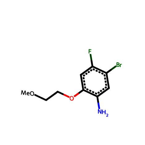 COCCOc1cc(F)c(Br)cc1N